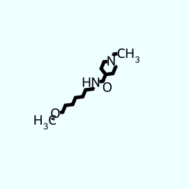 CCN1CCC(C(=O)NCCCCCCCOC)CC1